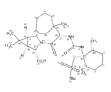 C[C@@H]1CCC[C@H](C)[C@@]1(CS(=O)(=O)C(C)(C)C)NC(=O)N[C@H](C(=O)N1C[C@H]2[C@@H]([C@H]1C(=O)O)C2(C)C)C1(C)CCCCC1